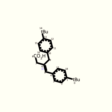 CC(C)(C)c1ccc(/C=C(/CC(=O)O)Cc2ccc(C(C)(C)C)cc2)cc1